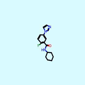 O=C(NC1CCCCC1)c1cc(-n2ccnc2)ccc1F